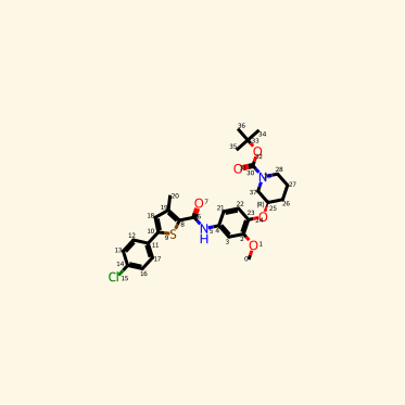 COc1cc(NC(=O)c2sc(-c3ccc(Cl)cc3)cc2C)ccc1O[C@@H]1CCCN(C(=O)OC(C)(C)C)C1